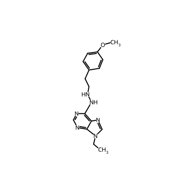 CCn1cnc2c(NNCCc3ccc(OC)cc3)ncnc21